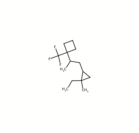 CCC1(C)CC1CC(C)C1(C(F)(F)F)CCC1